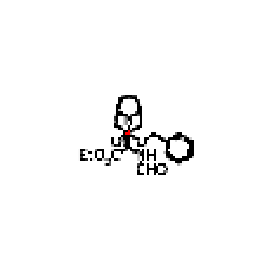 CCOC(=O)C(NC=O)=C1CC2CCC(C1)N2C(=O)OCc1ccccc1